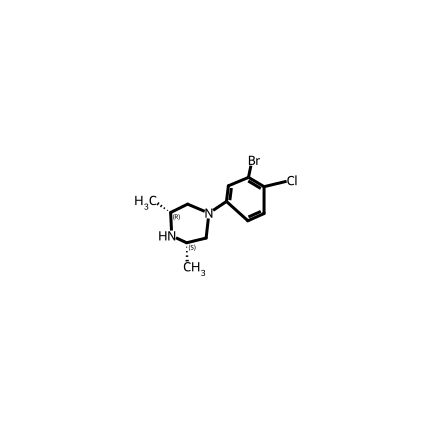 C[C@@H]1CN(c2ccc(Cl)c(Br)c2)C[C@H](C)N1